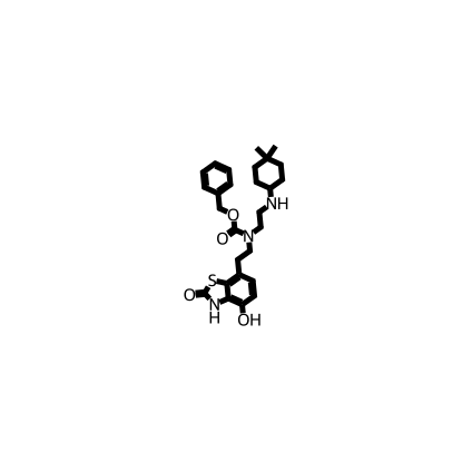 CC1(C)CCC(NCCN(CCc2ccc(O)c3[nH]c(=O)sc23)C(=O)OCc2ccccc2)CC1